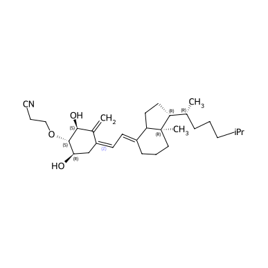 C=C1/C(=C\C=C2CCC[C@@]3(C)C2CC[C@@H]3[C@H](C)CCCC(C)C)C[C@@H](O)[C@H](OCCC#N)[C@H]1O